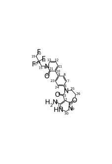 NC1=C2C(=O)N(c3ccc(-c4cccn(CC(F)(F)CF)c4=O)cc3)CCOC2=NCN1